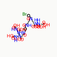 O=C(O)CC[C@@H](NC(=O)N[C@H](CCCCN(Cc1ccc(Br)cc1)C(=O)CCCCNC(=O)c1ccc(CNC(=O)CCC(C(=O)O)N(CCNCC(=O)O)CCN(CCNCC(=O)O)CC(=O)O)cc1)C(=O)O)C(=O)O